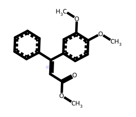 COC(=O)/C=C(/c1ccccc1)c1ccc(OC)c(OC)c1